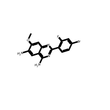 COc1cc2nc(-c3ccc(Br)cc3F)nc(N)c2cc1N